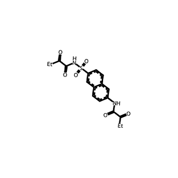 CCC(=O)C(=O)Nc1ccc2cc(S(=O)(=O)NC(=O)C(=O)CC)ccc2c1